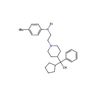 CCN(CCN1CCC(C(C#N)(c2ccccc2)C2CCCC2)CC1)c1ccc(C(C)(C)C)cc1